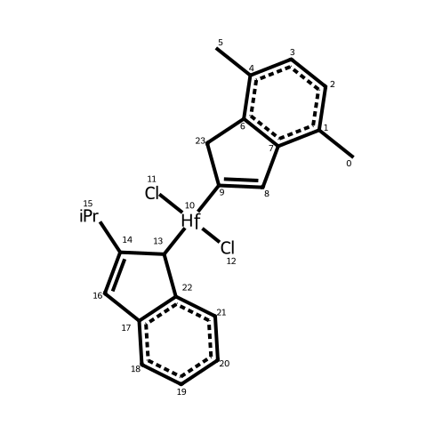 Cc1ccc(C)c2c1C=[C]([Hf]([Cl])([Cl])[CH]1C(C(C)C)=Cc3ccccc31)C2